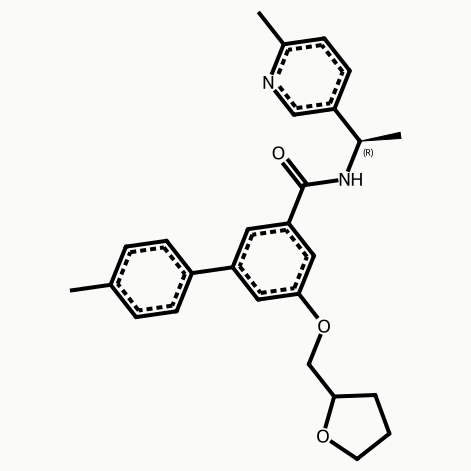 Cc1ccc(-c2cc(OCC3CCCO3)cc(C(=O)N[C@H](C)c3ccc(C)nc3)c2)cc1